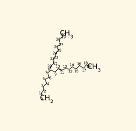 C=CCCCCCCC(CC=CCCCCCCCC)CCCCCCCCCCC